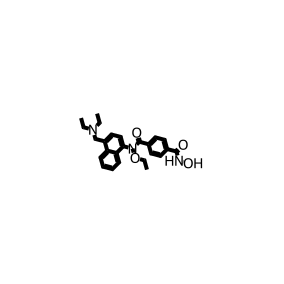 CCON(C(=O)c1ccc(C(=O)NO)cc1)c1ccc(CN(CC)CC)c2ccccc12